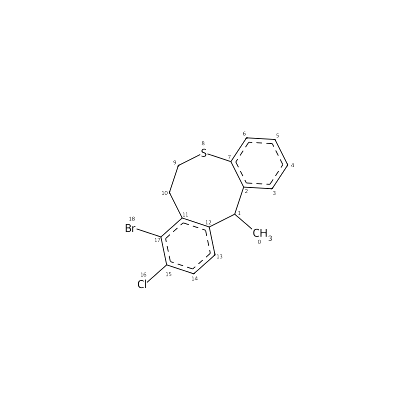 CC1c2ccccc2SCCc2c1ccc(Cl)c2Br